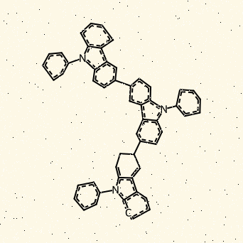 C1=c2c(n(-c3ccccc3)c3ccccc23)=CCC1c1ccc2c(c1)c1cc(-c3ccc4c(c3)c3ccccc3n4-c3ccccc3)ccc1n2-c1ccccc1